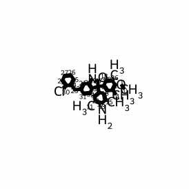 COc1c(C)cc(C2(c3cc(C)c(N)c(C)c3)C(=O)Nc3cc(Cc4ccccc4Cl)ccc32)cc1C